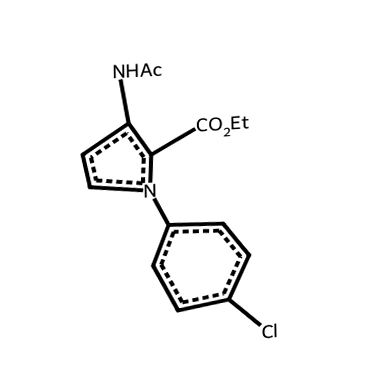 CCOC(=O)c1c(NC(C)=O)ccn1-c1ccc(Cl)cc1